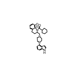 O=C(C1CCCCC1)N1c2c(O)cccc2CCC1CN1CCN(c2cccc3[nH]ccc23)CC1